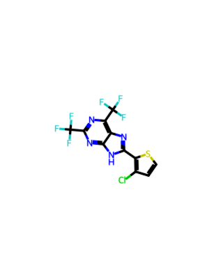 FC(F)(F)c1nc(C(F)(F)F)c2nc(-c3sccc3Cl)[nH]c2n1